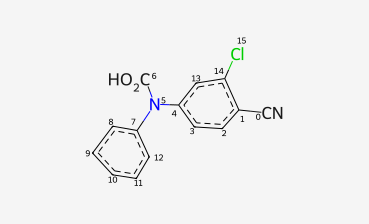 N#Cc1ccc(N(C(=O)O)c2ccccc2)cc1Cl